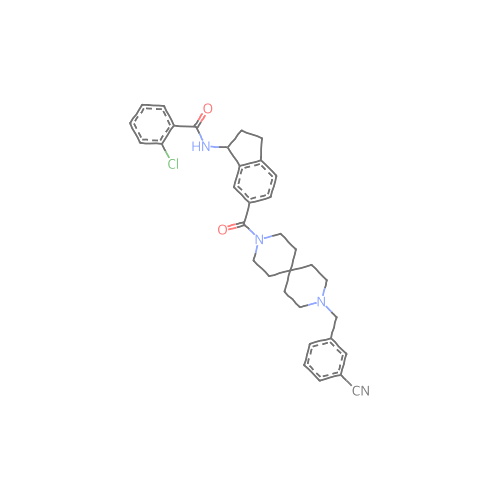 N#Cc1cccc(CN2CCC3(CC2)CCN(C(=O)c2ccc4c(c2)C(NC(=O)c2ccccc2Cl)CC4)CC3)c1